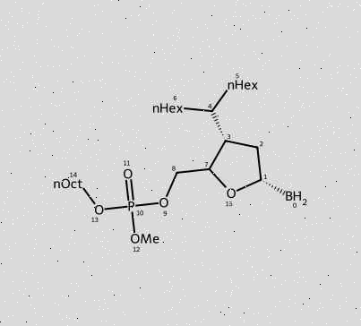 B[C@H]1C[C@@H](C(CCCCCC)CCCCCC)C(COP(=O)(OC)OCCCCCCCC)O1